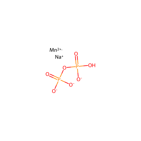 O=P([O-])([O-])OP(=O)([O-])O.[Mn+2].[Na+]